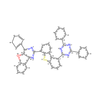 C1=CC(c2nc(-c3cccc4c3sc3cccc(-c5nc(-c6ccccc6)nc(-c6ccccc6)n5)c34)nc3c2oc2ccccc23)=CCC1